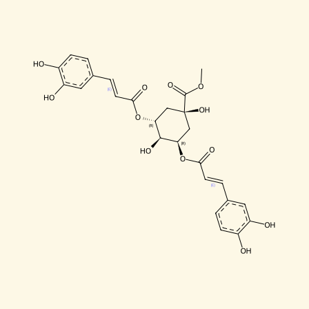 COC(=O)[C@]1(O)C[C@@H](OC(=O)/C=C/c2ccc(O)c(O)c2)[C@@H](O)[C@H](OC(=O)/C=C/c2ccc(O)c(O)c2)C1